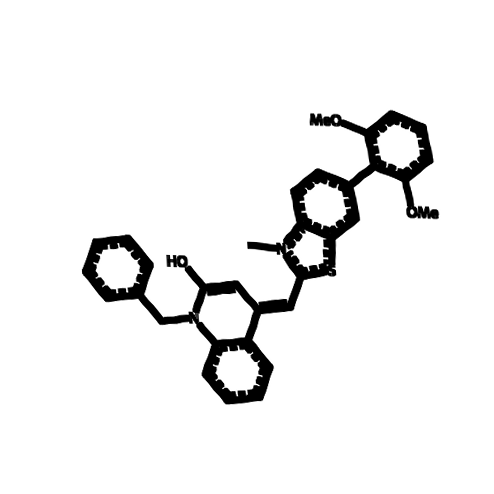 COc1cccc(OC)c1-c1ccc2c(c1)sc(C=C1C=C(O)N(Cc3ccccc3)c3ccccc31)[n+]2C